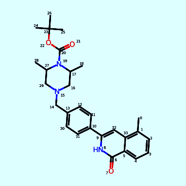 Cc1cccc2c(=O)[nH]c(-c3ccc(CN4CC(C)N(C(=O)OC(C)(C)C)C(C)C4)cc3)cc12